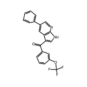 O=C(c1cccc(OC(F)(F)F)c1)c1c[nH]c2ncc(-c3ccccc3)cc12